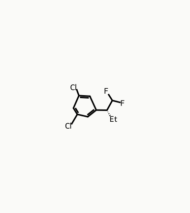 CC[C@H](c1cc(Cl)cc(Cl)c1)C(F)F